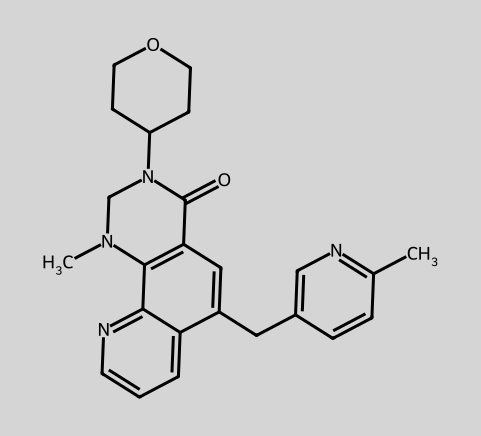 Cc1ccc(Cc2cc3c(c4ncccc24)N(C)CN(C2CCOCC2)C3=O)cn1